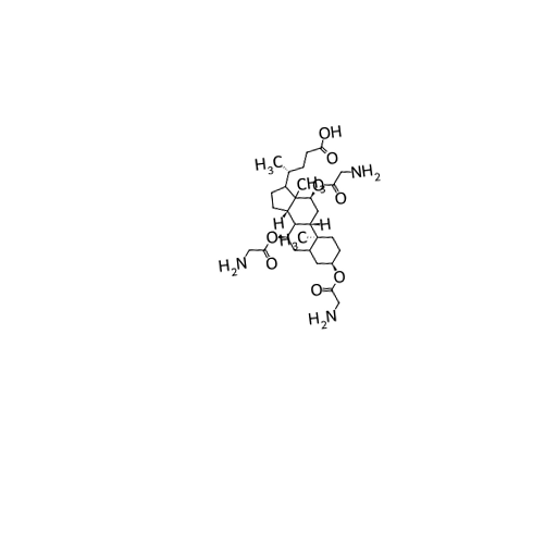 C[C@H](CCC(=O)O)C1CC[C@H]2C3[C@H](OC(=O)CN)CC4C[C@H](OC(=O)CN)CC[C@]4(C)[C@H]3C[C@H](OC(=O)CN)C12C